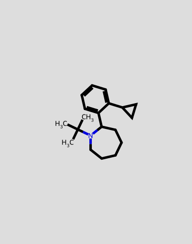 CC(C)(C)N1CCCCCC1c1ccccc1C1CC1